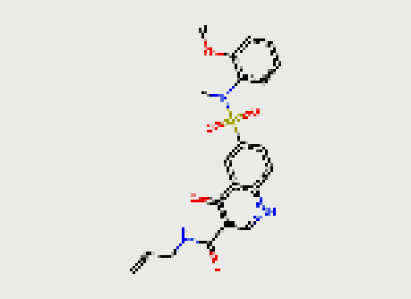 C=CCNC(=O)c1c[nH]c2ccc(S(=O)(=O)N(C)c3ccccc3OCC)cc2c1=O